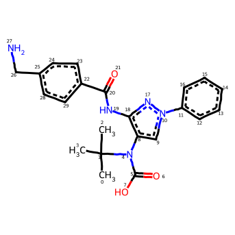 CC(C)(C)N(C(=O)O)c1cn(-c2ccccc2)nc1NC(=O)c1ccc(CN)cc1